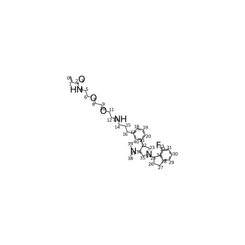 C=CC(=O)NCCOCCOCCNCCCc1cccc([C@H]2CN([C@H]3CCc4cccc(F)c43)C[C@@H]2N(C)C)c1